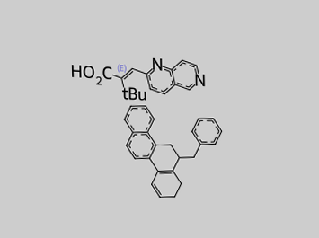 C1=CC2=C(CC1)C(Cc1ccccc1)Cc1c2ccc2ccccc12.CC(C)(C)/C(=C\c1ccc2cnccc2n1)C(=O)O